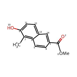 COC(=O)c1ccc2c(C)c(O)ccc2c1